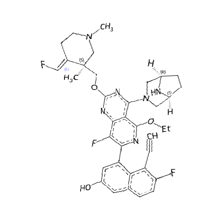 C#Cc1c(F)ccc2cc(O)cc(-c3nc(OCC)c4c(N5C[C@H]6CC[C@@H](C5)N6)nc(OC[C@]5(C)CN(C)CC/C5=C\F)nc4c3F)c12